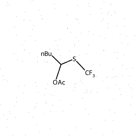 CCCCC(OC(C)=O)SC(F)(F)F